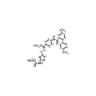 Cc1ccc(-c2ccc(C)cc2C(=O)Nc2ccc(N(CCc3csc(NC(=O)OC(C)(C)C)n3)C(=O)O)cc2)cc1